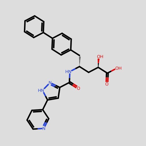 O=C(N[C@H](Cc1ccc(-c2ccccc2)cc1)C[C@@H](O)C(=O)O)c1cc(-c2cccnc2)[nH]n1